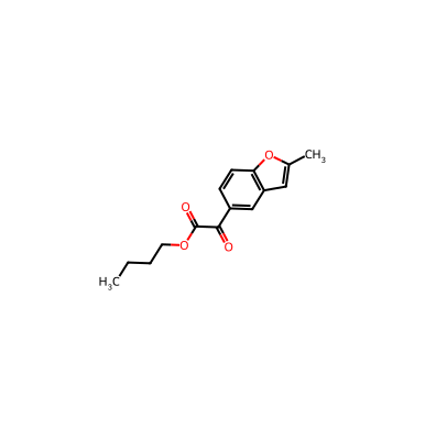 CCCCOC(=O)C(=O)c1ccc2oc(C)cc2c1